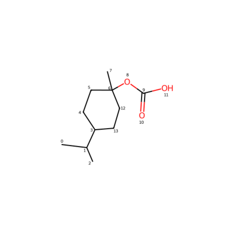 CC(C)C1CCC(C)(OC(=O)O)CC1